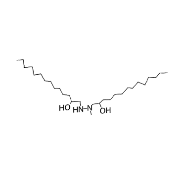 CCCCCCCCCCCCC(O)CNN(C)CC(O)CCCCCCCCCCCC